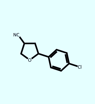 N#CC1COC(c2ccc(Cl)cc2)C1